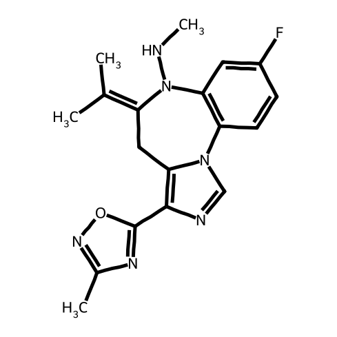 CNN1C(=C(C)C)Cc2c(-c3nc(C)no3)ncn2-c2ccc(F)cc21